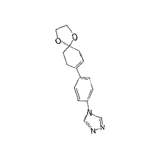 C1=C(c2ccc(-n3cnnc3)cc2)CCC2(C1)OCCO2